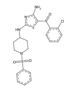 Nc1nc(NC2CCN(S(=O)(=O)c3ccccc3)CC2)sc1C(=O)c1ccccc1Cl